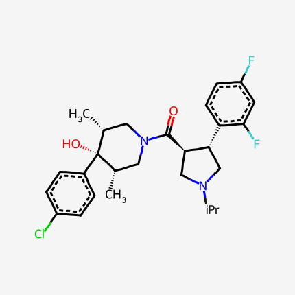 CC(C)N1C[C@@H](C(=O)N2C[C@@H](C)[C@](O)(c3ccc(Cl)cc3)[C@@H](C)C2)[C@H](c2ccc(F)cc2F)C1